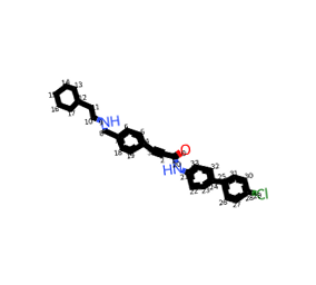 O=C(C#Cc1ccc(CNCCC2CCCCC2)cc1)Nc1ccc(-c2ccc(Cl)cc2)cc1